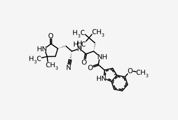 COc1cccc2[nH]c(C(=O)N[C@@H](CC(C)(C)C)C(=O)N[C@H](C#N)C[C@@H]3CC(C)(C)NC3=O)cc12